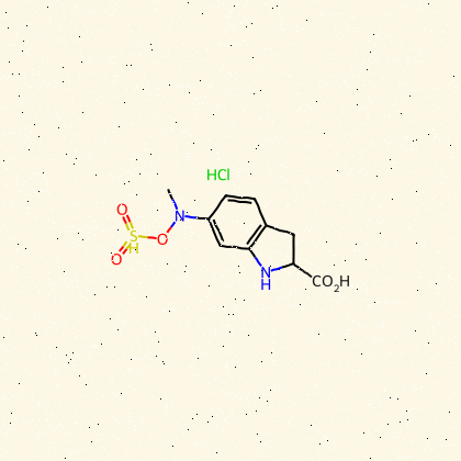 CN(O[SH](=O)=O)c1ccc2c(c1)NC(C(=O)O)C2.Cl